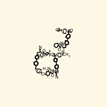 CN1CCN(C2(c3ccc(-c4ccc(C[C@H](C#N)NC(=O)[C@@]5(N)CCCCC5N)cc4)cc3)COC2)CC1.CN1CCN(Cc2ccc(-c3ccc(CC(C#N)NC(=O)C4(N)CC(F)(F)C4)cc3)cc2)CC1.N#C[C@@H](Cc1ccc(-c2ccc(C3(N4CCN(C5COC5)CC4)COC3)cc2)cc1)NC(=O)C1(N)CCCCC1